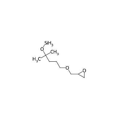 CC(C)(CCCOCC1CO1)O[SiH3]